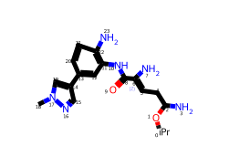 CC(C)OC(N)C/C=C(\N)C(=O)Nc1cc(-c2cnn(C)c2)ccc1N